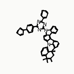 CC1CC2(C)c3c(cccc3C1(C)C)-n1c3ccc4c(c5ccccc5n4-c4nc(-c5ccccc5)nc(-c5ccc(-c6ccccc6)cc5)n4)c3c3cccc2c31